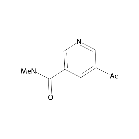 CNC(=O)c1cncc(C(C)=O)c1